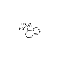 O=[SeH](O)(O)c1cccc2ccccc12